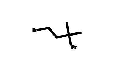 CC(C)C(C)(C)CCBr